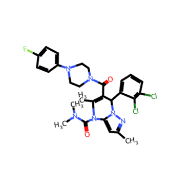 CC1=C(C(=O)N2CCN(c3ccc(F)cc3)CC2)C(c2cccc(Cl)c2Cl)n2nc(C)cc2N1C(=O)N(C)C